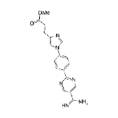 COC(=O)CCc1cn(-c2ccc(-c3ncc(C(=N)N)cn3)cc2)cn1